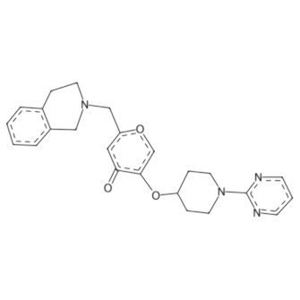 O=c1cc(CN2CCc3ccccc3C2)occ1OC1CCN(c2ncccn2)CC1